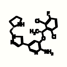 C[C@@H](Oc1cc(-c2cnn(C[C@@H]3CCCN3)c2)cnc1N)c1c(Cl)ccc(F)c1Cl